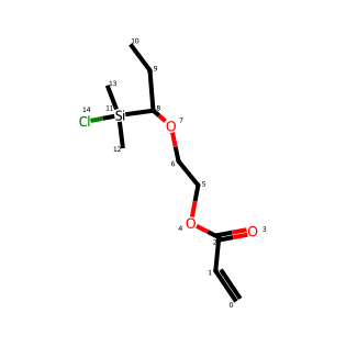 C=CC(=O)OCCOC(CC)[Si](C)(C)Cl